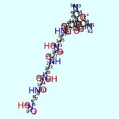 CC(=O)N(O)CCCCCNC(=O)CCC(=O)N(O)CCCCCNC(=O)CCC(=O)N(O)CCCCCNS(=O)(=O)c1ccc(-c2c3ccc(N(C)C)cc3[o+]c3cc(N(C)C)ccc23)c(S(=O)(=O)[O-])c1